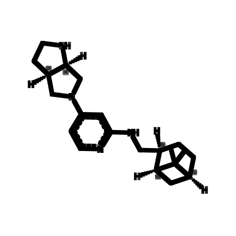 CC1(C)[C@H]2CC[C@H](CNc3cc(N4C[C@H]5CCN[C@H]5C4)ccn3)[C@@H]1C2